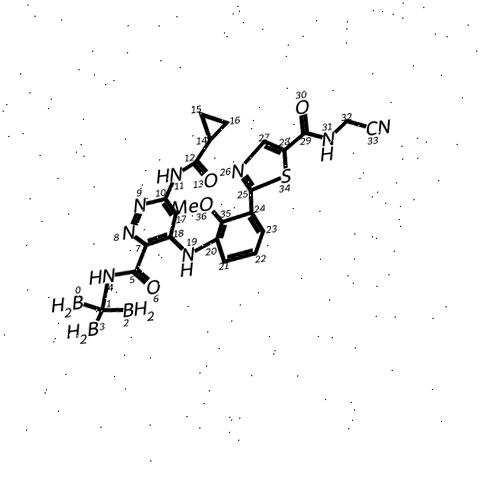 BC(B)(B)NC(=O)c1nnc(NC(=O)C2CC2)cc1Nc1cccc(-c2ncc(C(=O)NCC#N)s2)c1OC